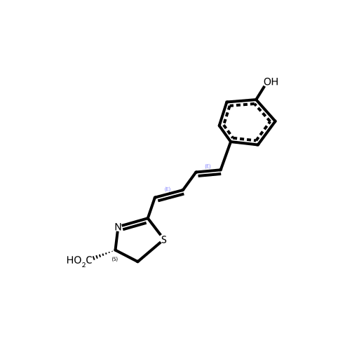 O=C(O)[C@H]1CSC(/C=C/C=C/c2ccc(O)cc2)=N1